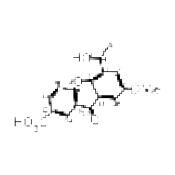 COc1cc(C(C)O)c2oc3ccc(C(=O)O)cc3c(=O)c2c1